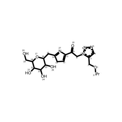 CC(C)OCc1cnnn1CC(=O)C1=CCC(CC2OC(CO)C(O)C(O)C2O)=N1